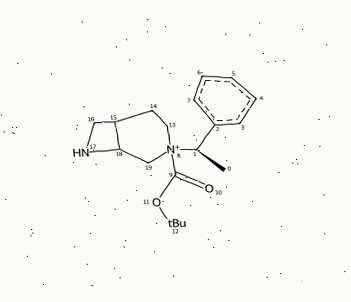 C[C@H](c1ccccc1)[N+]1(C(=O)OC(C)(C)C)CCC2CNC2C1